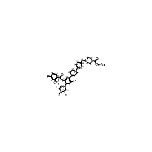 C[C@@H]1CN(c2cc(F)c(C3=CCN(c4ncc(CN5CCN(C(=O)OC(C)(C)C)CC5)cn4)CC3)cc2NC(=O)c2ccc(F)cc2C(F)(F)F)C[C@H](C)N1C